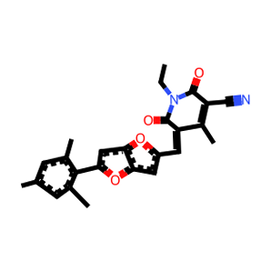 CCN1C(=O)C(C#N)=C(C)/C(=C/c2cc3oc(-c4c(C)cc(C)cc4C)cc3o2)C1=O